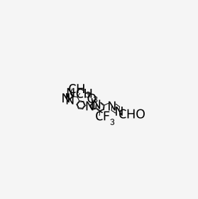 C[C@@H](c1cccc(-n2cc3c(C(F)(F)F)cc(CN4CCN(C=O)CC4)cn3c2=O)c1)c1nncn1C